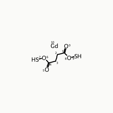 O=C(CCC(=O)OS)OS.[Gd]